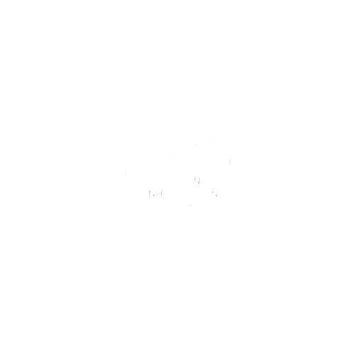 Cc1noc(-c2c(F)cccc2-c2ccc(C(C)NC(=O)O)c(F)c2)n1